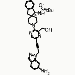 CC(C)(C)[S+]([O-])N[C@@H]1c2ccccc2CC12CCN(c1ncc(C#CCn3ncc4ccc(N)cc43)nc1CO)CC2